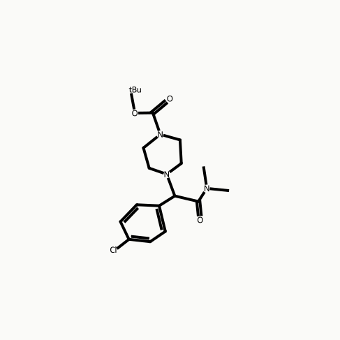 CN(C)C(=O)C(c1ccc(Cl)cc1)N1CCN(C(=O)OC(C)(C)C)CC1